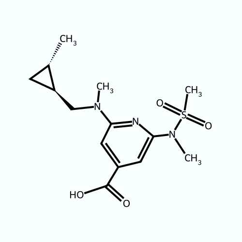 C[C@H]1C[C@@H]1CN(C)c1cc(C(=O)O)cc(N(C)S(C)(=O)=O)n1